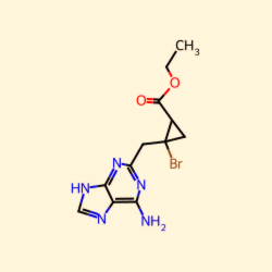 CCOC(=O)C1CC1(Br)Cc1nc(N)c2nc[nH]c2n1